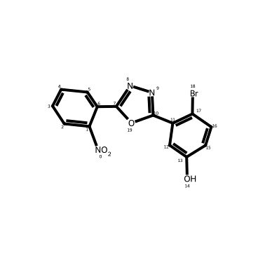 O=[N+]([O-])c1ccccc1-c1nnc(-c2cc(O)ccc2Br)o1